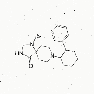 CC(C)N1CNC(=O)C12CCN(C1CCCCC1c1ccccc1)CC2